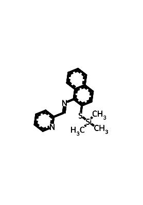 C[Si](C)(C)Sc1ccc2ccccc2c1N=Cc1ccccn1